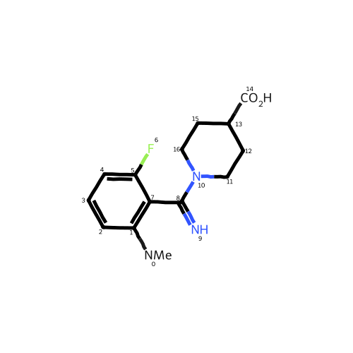 CNc1cccc(F)c1C(=N)N1CCC(C(=O)O)CC1